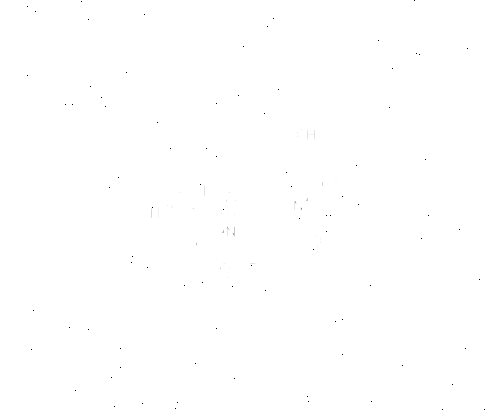 C/C=C/CN1C(=O)COc2cc(F)c(N3C(=O)OC(=C(C)C)C3=O)cc21